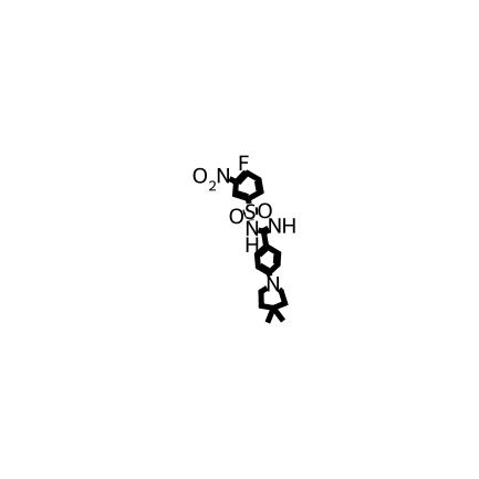 CC1(C)CCN(c2ccc(C(=N)NS(=O)(=O)c3ccc(F)c([N+](=O)[O-])c3)cc2)CC1